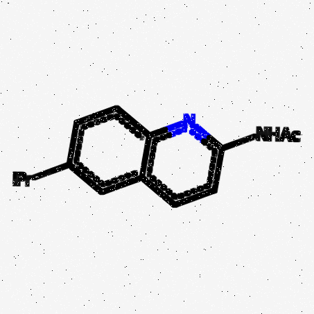 CC(=O)Nc1ccc2cc(C(C)C)ccc2n1